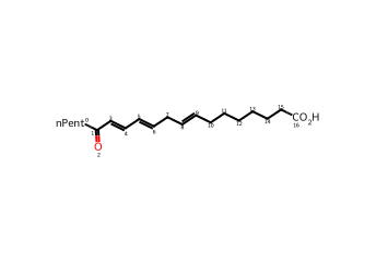 CCCCCC(=O)/C=C/C=C/C/C=C/CCCCCCC(=O)O